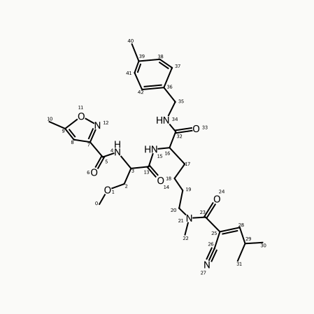 COCC(NC(=O)c1cc(C)on1)C(=O)NC(CCCCN(C)C(=O)C(C#N)=CC(C)C)C(=O)NCc1ccc(C)cc1